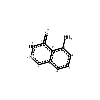 Nc1cccc2cn[nH]c(=O)c12